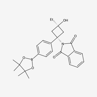 CC[C@]1(O)C[C@](c2ccc(B3OC(C)(C)C(C)(C)O3)cc2)(N2C(=O)c3ccccc3C2=O)C1